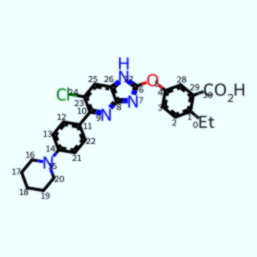 CCc1ccc(Oc2nc3nc(-c4ccc(N5CCCCC5)cc4)c(Cl)cc3[nH]2)cc1C(=O)O